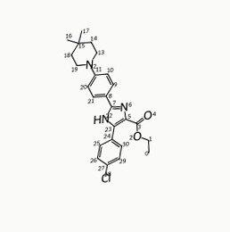 CCOC(=O)c1nc(-c2ccc(N3CCC(C)(C)CC3)cc2)[nH]c1-c1ccc(Cl)cc1